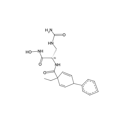 CCC1(C(=O)N[C@@H](CNC(N)=O)C(=O)NO)C=CC(c2ccccc2)C=C1